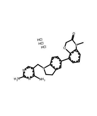 CN1C(=O)COc2c(-c3ccc4c(c3)CCN4Cc3cnc(N)nc3N)cccc21.Cl.Cl.Cl